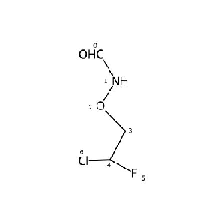 O=CNOCC(F)Cl